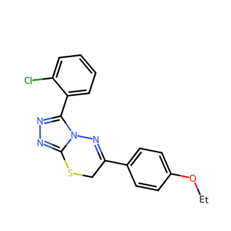 CCOc1ccc(C2=Nn3c(nnc3-c3ccccc3Cl)SC2)cc1